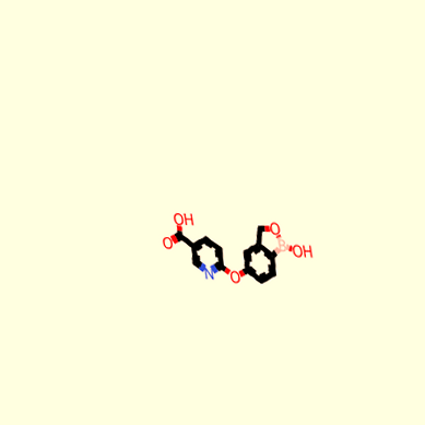 O=C(O)c1ccc(Oc2ccc3c(c2)COB3O)nc1